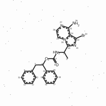 CC(NC(=O)OC(Cc1ccccc1)c1ccccc1)c1nc(Br)c2c(N)nccn12